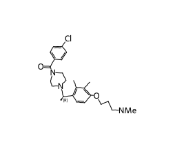 CNCCCOc1ccc([C@@H](C)N2CCN(C(=O)c3ccc(Cl)cc3)CC2)c(C)c1C